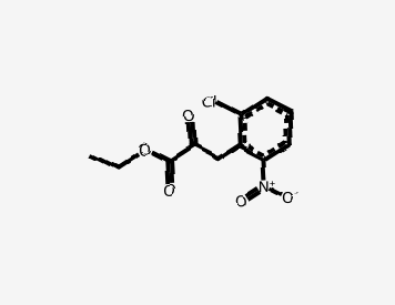 CCOC(=O)C(=O)Cc1c(Cl)cccc1[N+](=O)[O-]